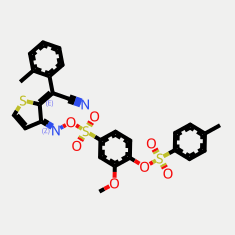 COc1cc(S(=O)(=O)O/N=C2/C=CS/C2=C(/C#N)c2ccccc2C)ccc1OS(=O)(=O)c1ccc(C)cc1